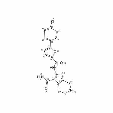 CN1CCc2c(sc(NC(=O)c3ccc(-c4ccc(Cl)cc4)o3)c2C(N)=O)C1